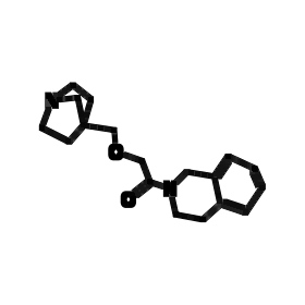 O=C(COCC12CCN(CC1)C2)N1CCc2ccccc2C1